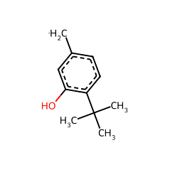 [CH2]c1ccc(C(C)(C)C)c(O)c1